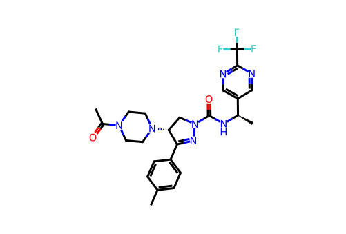 CC(=O)N1CCN([C@@H]2CN(C(=O)N[C@H](C)c3cnc(C(F)(F)F)nc3)N=C2c2ccc(C)cc2)CC1